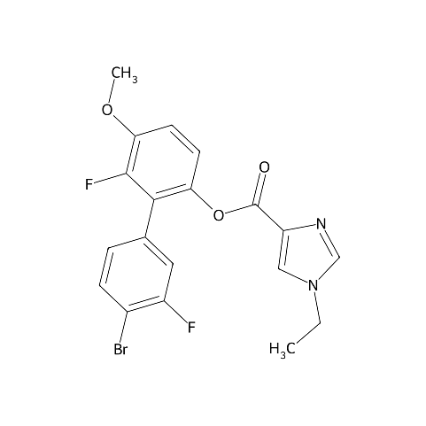 CCn1cnc(C(=O)Oc2ccc(OC)c(F)c2-c2ccc(Br)c(F)c2)c1